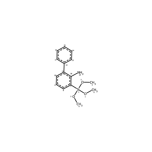 CO[Si](OC)(OC)c1cccc(-c2ccccc2)c1N